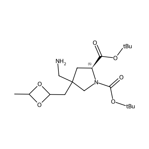 CC1OC(CC2(CN)C[C@@H](C(=O)OC(C)(C)C)N(C(=O)OC(C)(C)C)C2)O1